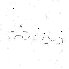 C#Cc1cc(C(=O)Nc2cnc(-n3nccn3)c(Cl)c2)c(Cl)nc1-c1ccncc1